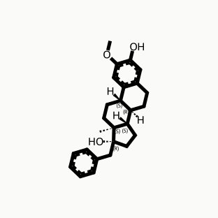 COc1cc2c(cc1O)CC[C@@H]1[C@@H]2CC[C@@]2(C)[C@H]1CC[C@@]2(O)Cc1ccccc1